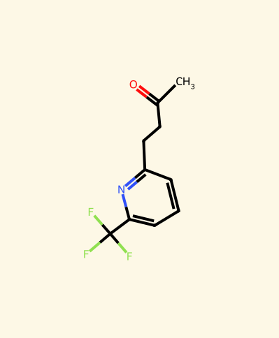 CC(=O)CCc1cccc(C(F)(F)F)n1